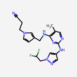 Cc1cnc(Nc2cnn(CC(F)F)c2)nc1NCc1ccn(CCC#N)c1